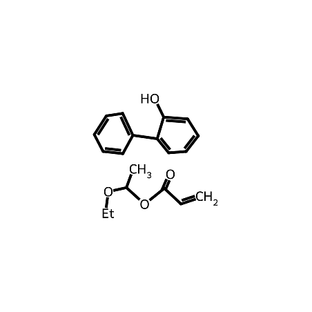 C=CC(=O)OC(C)OCC.Oc1ccccc1-c1ccccc1